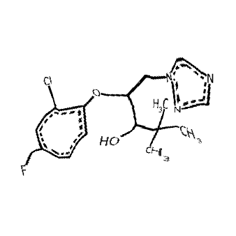 CC(C)(C)C(O)C(Cn1cncn1)Oc1ccc(F)cc1Cl